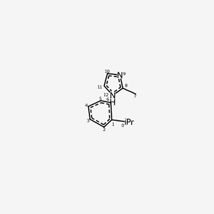 CC(C)c1ccccc1.Cc1ncc[nH]1